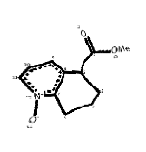 COC(=O)C1CCCc2c1ccc[n+]2[O-]